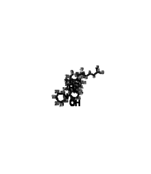 CC(C)CCC[C@@H](C)[C@H]1CC[C@H]2[C@@H]3CC=C4C(N5C=CC=CC=C5)[C@@H](O)CC[C@]4(C)[C@H]3CC[C@]12C